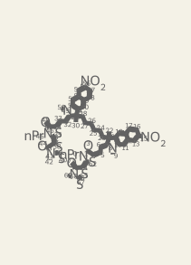 CCCn1c(=O)c(=CC=C2N(C)c3cc4cc([N+](=O)[O-])ccc4cc3C2(C)CCCCCCC2(C)C(=CC=c3s/c(=C4\SC(=S)N(C)C4=O)n(CCC)c3=O)N(C)c3cc4cc([N+](=O)[O-])ccc4cc32)s/c1=C1\SC(=S)N(C)C1=O